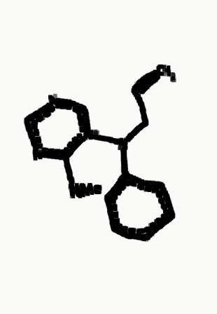 C=CCN(c1ccccc1)[n+]1cncnc1NC